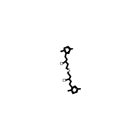 Cc1ccc(C)c(CCC(Cl)CCSCCC(Cl)CCc2cc(C)ccc2C)c1